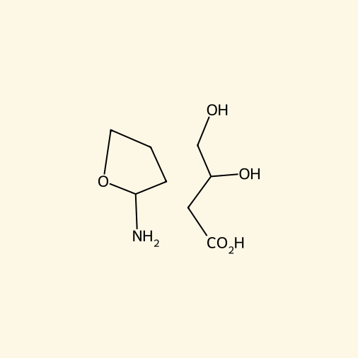 NC1CCCO1.O=C(O)CC(O)CO